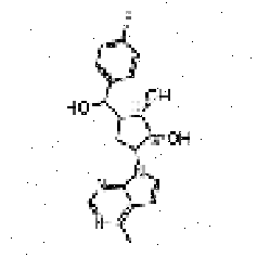 Cc1ncnc2c1ccn2C1CC(C(O)c2ccc(F)cc2)[C@@H](O)[C@H]1O